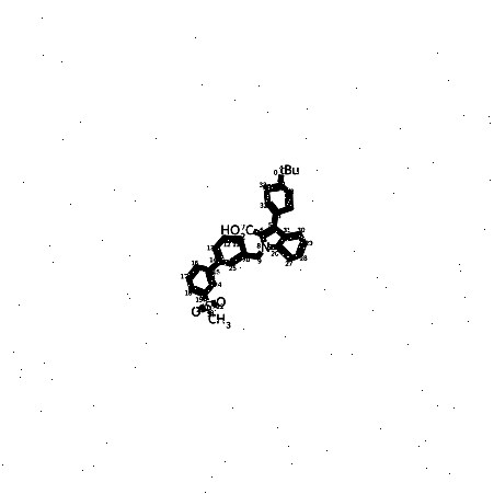 CC(C)(C)c1ccc(-c2c(C(=O)O)n(Cc3cccc(-c4cccc(S(C)(=O)=O)c4)c3)c3ccccc23)cc1